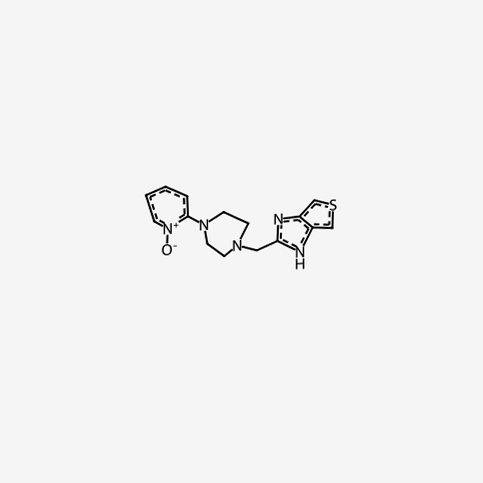 [O-][n+]1ccccc1N1CCN(Cc2nc3cscc3[nH]2)CC1